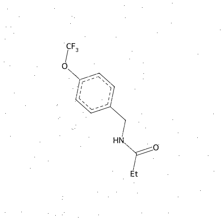 CCC(=O)NCc1ccc(OC(F)(F)F)cc1